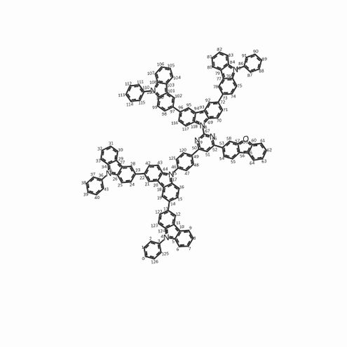 c1ccc(-n2c3ccccc3c3cc(-c4ccc5c(c4)c4cc(-c6ccc7c(c6)c6ccccc6n7-c6ccccc6)ccc4n5-c4ccc(-c5cc(-c6ccc7c(c6)oc6ccccc67)nc(-n6c7ccc(-c8ccc9c(c8)c8ccccc8n9-c8ccccc8)cc7c7cc(-c8ccc9c(c8)c8ccccc8n9-c8ccccc8)ccc76)n5)cc4)ccc32)cc1